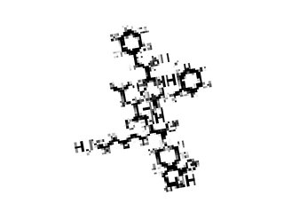 CC(C)C[C@@H](NC(=O)[C@@H](Cc1ccccc1)NC(=O)[C@H](N)Cc1ccccc1)C(=O)N[C@H](CCCCCN)C(=O)N1CCC2(CCNC2=O)CC1